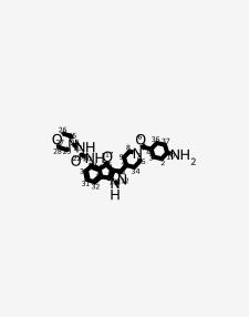 NC1CCC(C(=O)N2CCC(c3n[nH]c4c3C(=O)c3c(NC(=O)NN5CCOCC5)cccc3-4)CC2)CC1